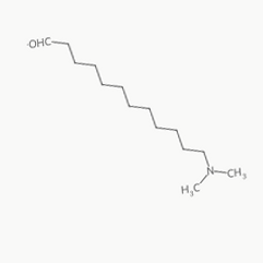 CN(C)CCCCCCCCCCC[C]=O